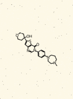 CN1CCCN(c2ccc(-n3cnc4cc(C5(O)CCOCC5)sc4c3=O)cc2)CC1